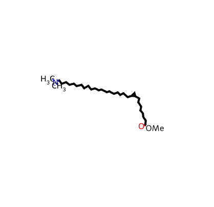 COC(=O)CCCCCCCC1CC1CCCCCCCCCCCCCCCCCCCCN(C)C